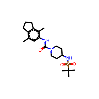 Cc1cc(NC(=O)N2CCC(NS(=O)(=O)C(C)(C)C)CC2)c(C)c2c1CCC2